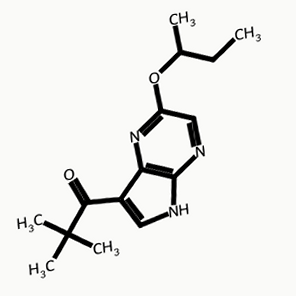 CCC(C)Oc1cnc2[nH]cc(C(=O)C(C)(C)C)c2n1